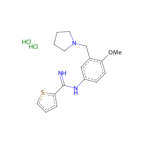 COc1ccc(NC(=N)c2cccs2)cc1CN1CCCC1.Cl.Cl